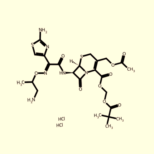 CC(=O)OCC1=C(C(=O)OCOC(=O)C(C)(C)C)N2C(=O)[C@@H](NC(=O)C(=NOC(C)CN)c3csc(N)n3)[C@H]2SC1.Cl.Cl